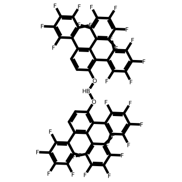 Fc1c(F)c(F)c(-c2ccc(OBOc3ccc(-c4c(F)c(F)c(F)c(F)c4F)c(-c4c(F)c(F)c(F)c(F)c4F)c3-c3c(F)c(F)c(F)c(F)c3F)c(-c3c(F)c(F)c(F)c(F)c3F)c2-c2c(F)c(F)c(F)c(F)c2F)c(F)c1F